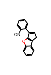 O=Nc1ccccc1C1=CCc2c1oc1ccccc21